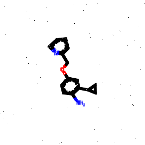 Nc1ccc(OCc2ccccn2)cc1C1CC1